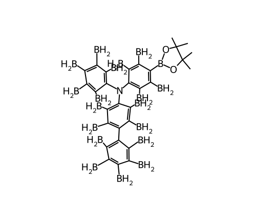 Bc1c(B)c(B)c(-c2c(B)c(B)c(N(c3c(B)c(B)c(B)c(B)c3B)c3c(B)c(B)c(B4OC(C)(C)C(C)(C)O4)c(B)c3B)c(B)c2B)c(B)c1B